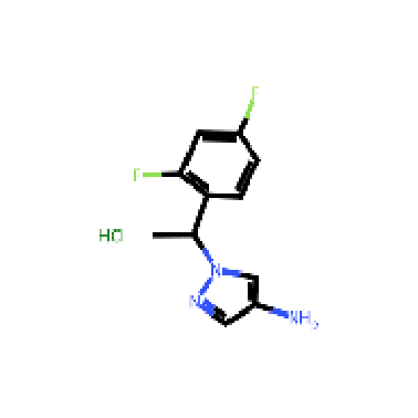 CC(c1ccc(F)cc1F)n1cc(N)cn1.Cl